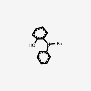 CC(C)(C)N(c1ccccc1)c1ccccc1O